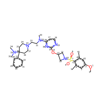 COc1cc(C)c(S(=O)(=O)N2CC(Oc3nccc(N(C)CCN4CCC(c5ccccc5)(N(C)C)CC4)n3)C2)c(C)c1